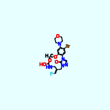 COc1cc(N2CCOCC2)c(Br)cc1-n1cnn(C/C(=C/F)CNC(=O)O)c1=O